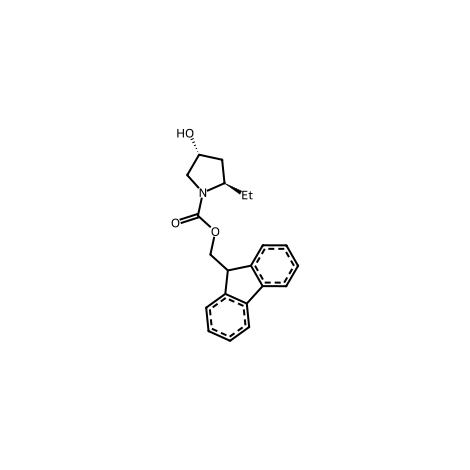 CC[C@@H]1C[C@@H](O)CN1C(=O)OCC1c2ccccc2-c2ccccc21